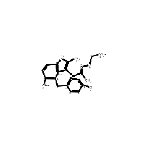 COc1ccc2[nH]c(C)c(CC(C)=NOCC(=O)O)c2c1Cc1ccc(Cl)cc1